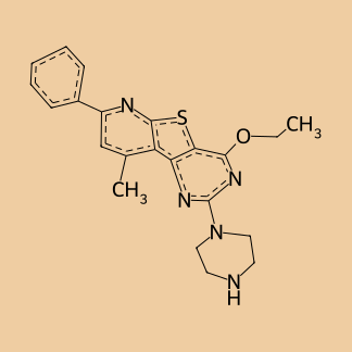 CCOc1nc(N2CCNCC2)nc2c1sc1nc(-c3ccccc3)cc(C)c12